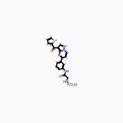 CCOC(=O)NCC(=O)Nc1cccc(-c2ccn3ncc(C(=O)c4cccs4)c3n2)c1